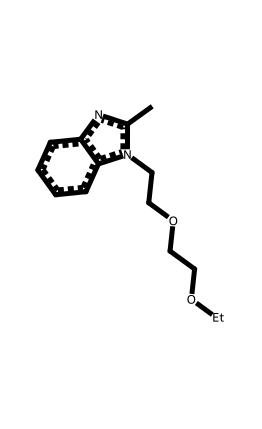 CCOCCOCCn1c(C)nc2ccccc21